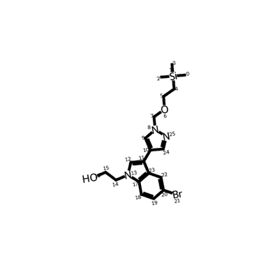 C[Si](C)(C)CCOCn1cc(-c2cn(CCO)c3ccc(Br)cc23)cn1